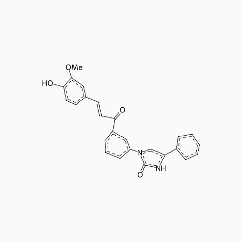 COc1cc(C=CC(=O)c2cccc(-n3cc(-c4ccccc4)[nH]c3=O)c2)ccc1O